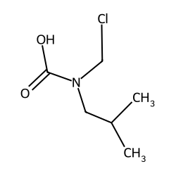 CC(C)CN(CCl)C(=O)O